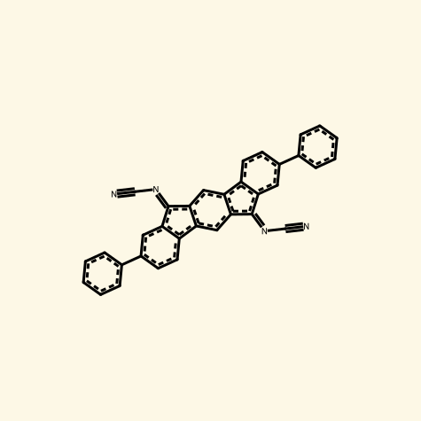 N#C/N=c1\c2cc(-c3ccccc3)ccc2c2cc3/c(=N/C#N)c4cc(-c5ccccc5)ccc4c3cc12